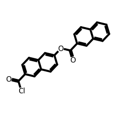 O=C(Cl)c1ccc2cc(OC(=O)c3ccc4ccccc4c3)ccc2c1